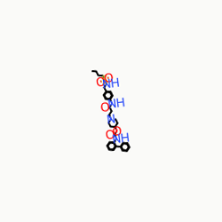 CCCCS(=O)(=O)NCc1ccc(NC(=O)CCN2CCC(OC(=O)Nc3ccccc3-c3ccccc3)CC2)cc1